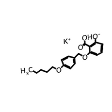 CCCCCOc1ccc(COc2cccc([O-])c2C(=O)O)cc1.[K+]